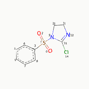 O=S(=O)(c1ccccc1)N1CCN=C1Cl